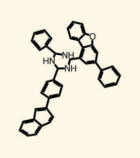 c1ccc(-c2cc(C3NC(c4ccccc4)NC(c4ccc(-c5ccc6ccccc6c5)cc4)N3)c3c(c2)oc2ccccc23)cc1